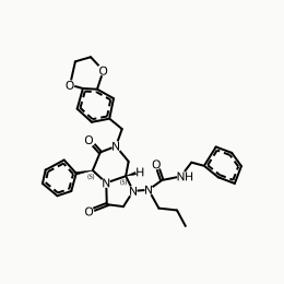 CCCN(C(=O)NCc1ccccc1)N1CC(=O)N2[C@@H](c3ccccc3)C(=O)N(Cc3ccc4c(c3)OCCO4)C[C@@H]21